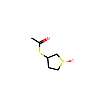 CC(=O)SC1CC[S+]([O-])C1